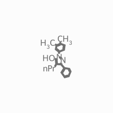 CCCc1c(-c2ccccc2)nn(-c2ccc(C)c(C)c2)c1O